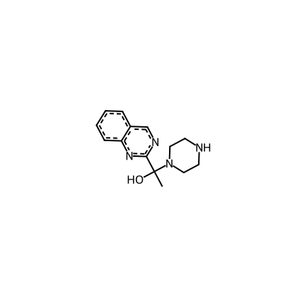 CC(O)(c1ncc2ccccc2n1)N1CCNCC1